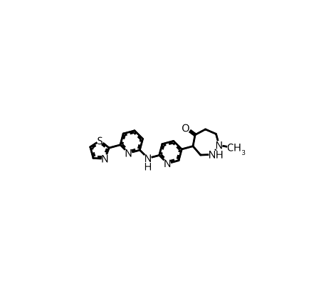 CN1CCC(=O)C(c2ccc(Nc3cccc(-c4nccs4)n3)nc2)CN1